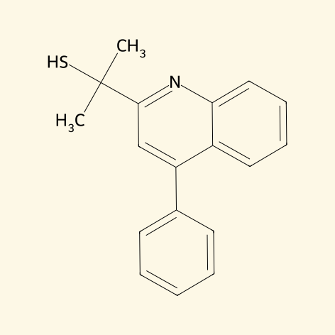 CC(C)(S)c1cc(-c2ccccc2)c2ccccc2n1